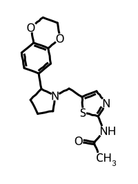 CC(=O)Nc1ncc(CN2CCCC2c2ccc3c(c2)OCCO3)s1